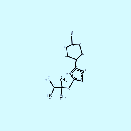 CC(C)(Cc1csc(C2CCC(F)CC2)n1)[C@H](O)S